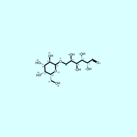 O=C[C@H](O)[C@@H](O)[C@@H](O)[C@H](O)COC1O[C@H](CO)[C@H](O)[C@H](O)[C@H]1O